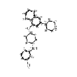 Clc1ccnc(N[C@H]2CC[C@@H](Oc3cc(N4CCOCC4)cc4nccnc34)CC2)n1